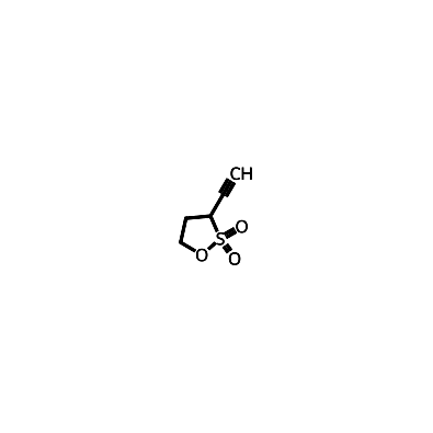 C#CC1CCOS1(=O)=O